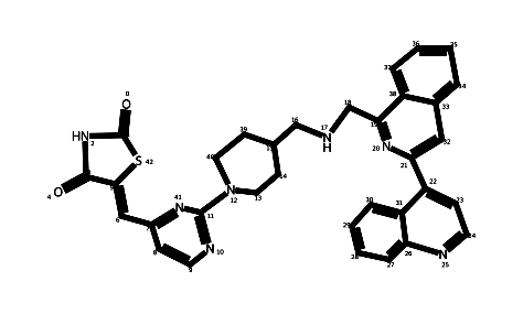 O=C1NC(=O)C(=Cc2ccnc(N3CCC(CNCc4nc(-c5ccnc6ccccc56)cc5ccccc45)CC3)n2)S1